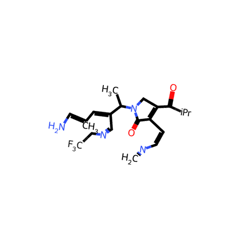 C=N/C=C\C1=C(C(=O)C(C)C)CN(C(C)C(/C=N\CC(F)(F)F)=C/C(C)=C/N)C1=O